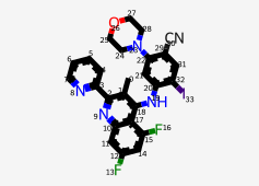 Cc1c(-c2ccccn2)nc2cc(F)cc(F)c2c1Nc1cc(N2CCOCC2)c(C#N)cc1I